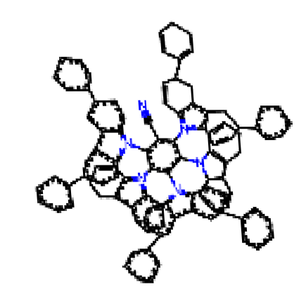 N#Cc1c(-n2c3c(c4c2C=CC(c2ccccc2)C4)CC(C2=CCCC=C2)C=C3)c(N2C3=C(CCC=C3)C3C=CC=CC32)c(-n2c3ccc(-c4ccccc4)cc3c3cc(-c4ccccc4)ccc32)c(-n2c3c(c4ccccc42)CCC=C3)c1-n1c2ccc(-c3ccccc3)cc2c2cc(-c3ccccc3)ccc21